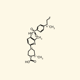 Cc1nc(N2CCN(C(=O)O)[C@@H](C)C2)ccc1NS(=O)(=O)c1ccc([C@@H](C)CF)cc1